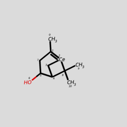 C[C]1=[Ce]2[CH2]C(C(O)C1)[C]2(C)C